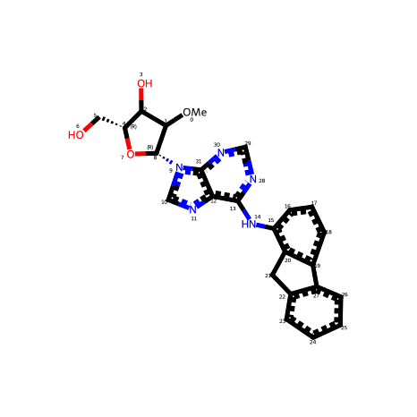 COC1C(O)[C@@H](CO)O[C@H]1n1cnc2c(Nc3cccc4c3Cc3ccccc3-4)ncnc21